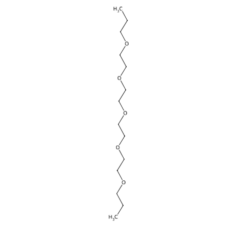 CCCOCCOCCOCCOCCOCCC